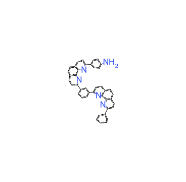 Nc1ccc(-c2ccc3ccc4ccc(-c5cccc(-c6ccc7ccc8ccc(-c9ccccc9)nc8c7n6)c5)nc4c3n2)cc1